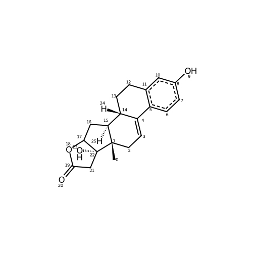 C[C@]12CC=C3c4ccc(O)cc4CC[C@H]3[C@@H]1CC1OC(=O)C[C@@]12O